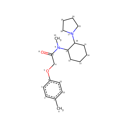 Cc1ccc(OCC(=O)N(C)C2CCCCC2N2CCCC2)cc1